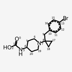 O=C(O)NC1CCN(C2(Cc3ccc(Br)cc3)CC2)CC1